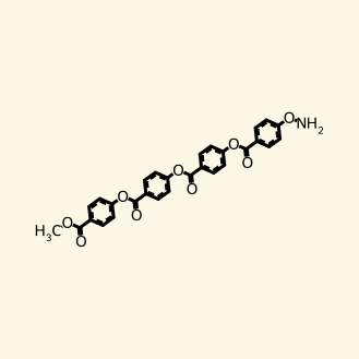 COC(=O)c1ccc(OC(=O)c2ccc(OC(=O)c3ccc(OC(=O)c4ccc(ON)cc4)cc3)cc2)cc1